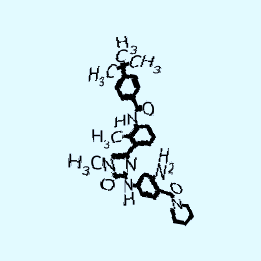 Cc1c(NC(=O)c2ccc(C(C)(C)C)cc2)cccc1-c1cn(C)c(=O)c(Nc2ccc(C(=O)N3CCCCC3)c(N)c2)n1